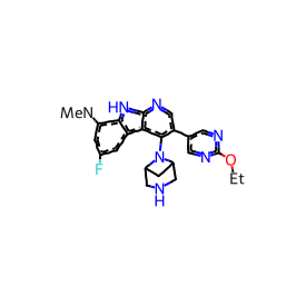 CCOc1ncc(-c2cnc3[nH]c4c(NC)cc(F)cc4c3c2N2C3CNCC2C3)cn1